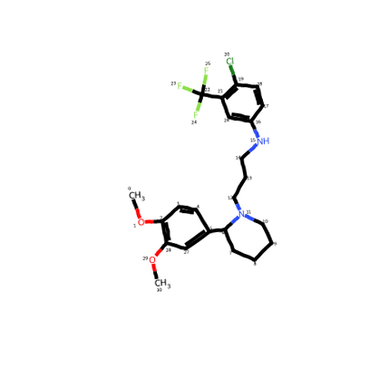 COc1ccc(C2CCCCN2CCCNc2ccc(Cl)c(C(F)(F)F)c2)cc1OC